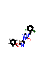 O=c1n(Cc2c(F)cccc2F)cnn1-c1cnc(Oc2ccccc2)s1